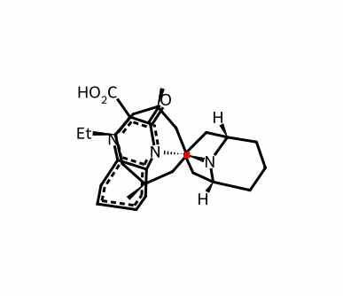 CC[C@H]1C[C@@H](C)C[C@@H](N2[C@@H]3CCC[C@H]2C[C@@H](n2c(=O)c(C(=O)O)nc4ccccc42)C3)C[C@@H](C)C1